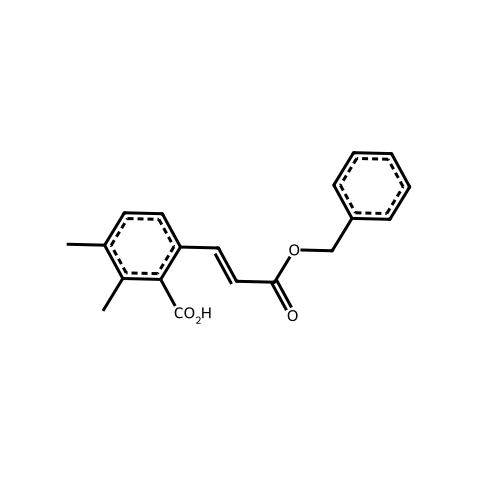 Cc1ccc(C=CC(=O)OCc2ccccc2)c(C(=O)O)c1C